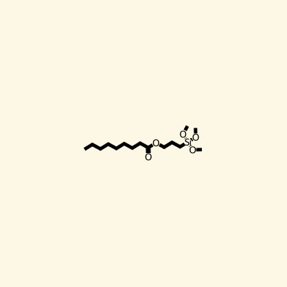 CCCCCCCCC(=O)OCCC[Si](OC)(OC)OC